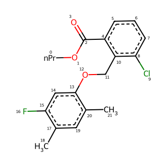 CCCOC(=O)c1cccc(Cl)c1COc1cc(F)c(C)cc1C